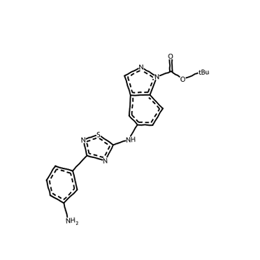 CC(C)(C)OC(=O)n1ncc2cc(Nc3nc(-c4cccc(N)c4)ns3)ccc21